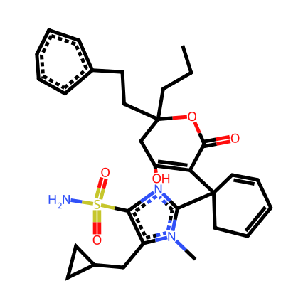 CCCC1(CCc2ccccc2)CC(O)=C(C2(c3nc(S(N)(=O)=O)c(CC4CC4)n3C)C=CC=CC2)C(=O)O1